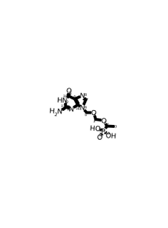 CC(OCOCn1cnc2c(=O)[nH]c(N)nc21)P(=O)(O)O